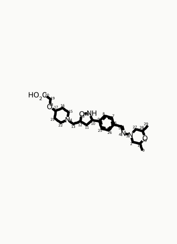 CC1CN(N=Cc2ccc(C3CC(CN4CCC(OCC(=O)O)CC4)ON3)cc2)CC(C)O1